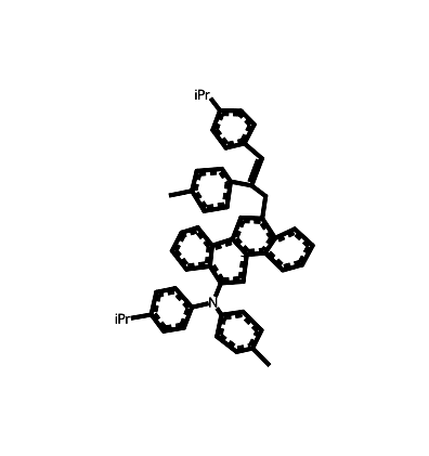 Cc1ccc(/C(=C\c2ccc(C(C)C)cc2)Cc2cc3c4ccccc4c(N(c4ccc(C)cc4)c4ccc(C(C)C)cc4)cc3c3ccccc23)cc1